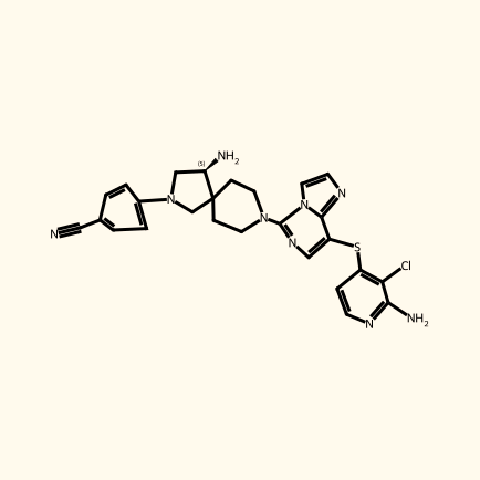 N#Cc1ccc(N2C[C@@H](N)C3(CCN(c4ncc(Sc5ccnc(N)c5Cl)c5nccn45)CC3)C2)cc1